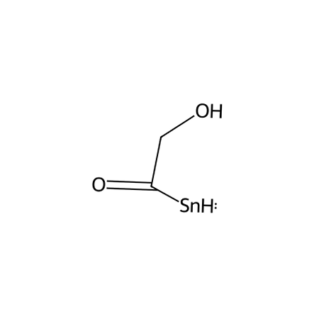 O=[C]([SnH])CO